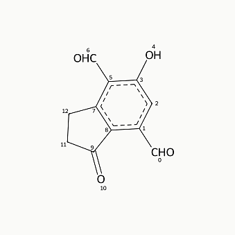 O=Cc1cc(O)c(C=O)c2c1C(=O)CC2